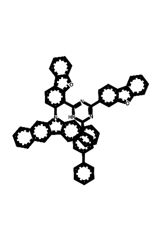 c1ccc(-c2ccc(C3N=C(c4ccc5c(c4)oc4ccccc45)N=C(c4c(-n5c6cc7ccccc7cc6c6cc7ccccc7cc65)ccc5c4oc4ccccc45)N3)cc2)cc1